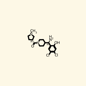 CN1CC[C@@H](C(=O)N2CCC([C@@H](N)c3cc(Cl)c(Cl)cc3O)CC2)C1